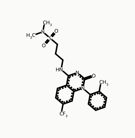 Cc1ccccc1-n1c(=O)nc(NCCCS(=O)(=O)N(C)C)c2ccc(C(F)(F)F)cc21